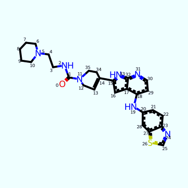 O=C(NCCN1CCCCC1)N1CC=C(c2cc3c(Nc4ccc5ncsc5c4)ccnc3[nH]2)CC1